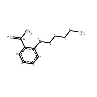 CCCCCSc1ccccc1C(C)=O